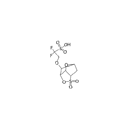 O=S1(=O)OC2C(OCC(F)(F)S(=O)(=O)O)C3CC1C2O3